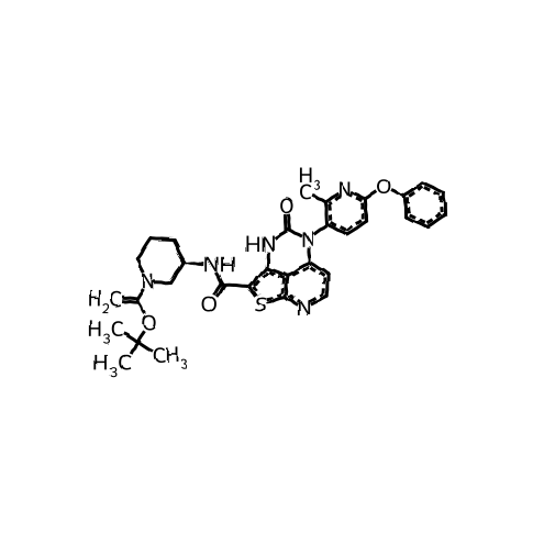 C=C(OC(C)(C)C)N1CCC[C@@H](NC(=O)c2sc3nccc4c3c2NC(=O)N4c2ccc(Oc3ccccc3)nc2C)C1